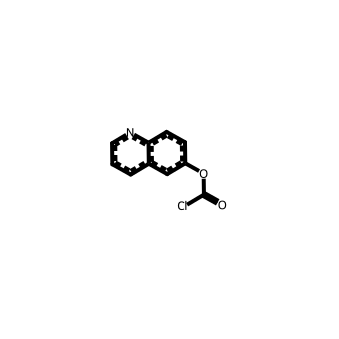 O=C(Cl)Oc1ccc2ncccc2c1